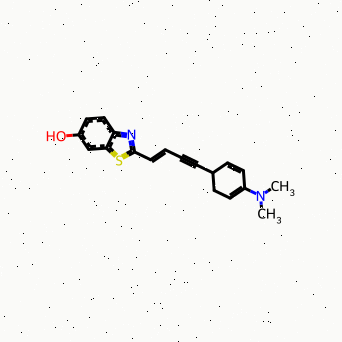 CN(C)C1=CCC(C#C/C=C/c2nc3ccc(O)cc3s2)C=C1